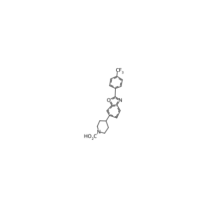 O=C(O)N1CCC(c2ccc3nc(-c4ccc(C(F)(F)F)cc4)oc3c2)CC1